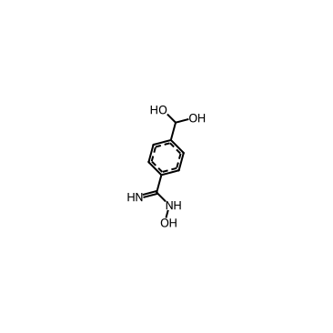 N=C(NO)c1ccc(C(O)O)cc1